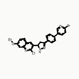 CCOc1ccc2cc(C3CC(c4ccc(-c5ccc(Br)nc5)cc4)=NN3)c(Cl)nc2c1